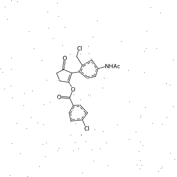 CC(=O)Nc1ccc(C2=C(OC(=O)c3ccc(Cl)cc3)CCC2=O)c(CCl)c1